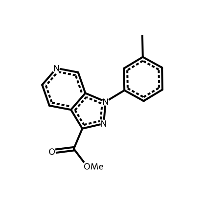 COC(=O)c1nn(-c2cccc(C)c2)c2cnccc12